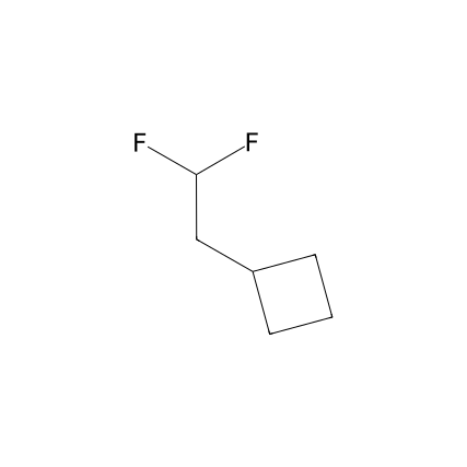 FC(F)CC1CCC1